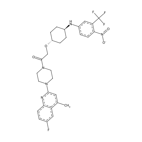 Cc1cc(N2CCN(C(=O)CO[C@H]3CC[C@H](Nc4ccc([N+](=O)[O-])c(C(F)(F)F)c4)CC3)CC2)nc2ccc(F)cc12